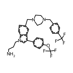 NCCCn1cc(-c2ccc(OC(F)(F)F)cc2)c2cc(CN3CCN(Cc4ccc(C(F)(F)F)cc4)CC3)ccc21